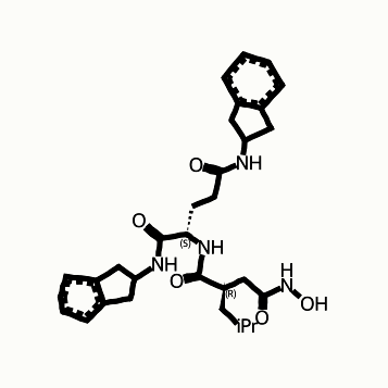 CC(C)C[C@H](CC(=O)NO)C(=O)N[C@@H](CCC(=O)NC1Cc2ccccc2C1)C(=O)NC1Cc2ccccc2C1